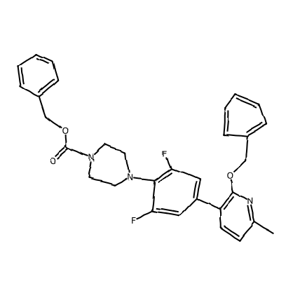 Cc1ccc(-c2cc(F)c(N3CCN(C(=O)OCc4ccccc4)CC3)c(F)c2)c(OCc2ccccc2)n1